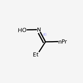 CCC/C(CC)=N/O